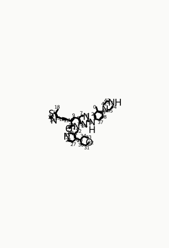 Cc1cc(Nc2ncc3cc(C#Cc4ncsc4C)c(=O)n(Cc4cnccc4C4CCOCC4)c3n2)ccc1N1CCNCC1